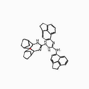 c1cc2c3c(ccc(N=C(NNC(=NC4CC5CCC4C5)NC4CC5CCC4C5)Nc4ccc5c6c(cccc46)CC5)c3c1)CC2